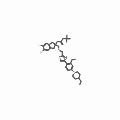 C=C(CC(C)(C)C)CC1(CNCc2nc(-c3ccc(N4CCC(CC)CC4)cc3CC)cs2)Cc2cc(F)c(F)cc2C1